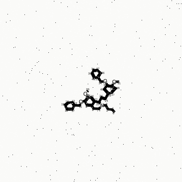 CCCCN1CCc2cc(OCc3ccccc3)c(OC)cc2C1C=Cc1ccc(OC)c(OCc2ccccc2)c1